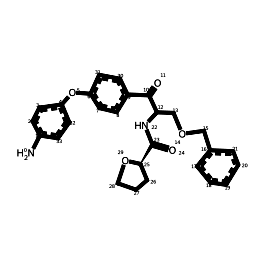 Nc1ccc(Oc2ccc(C(=O)C(COCc3ccccc3)NC(=O)[C@H]3CCCO3)cc2)cc1